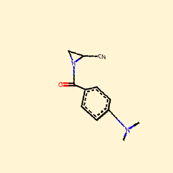 CN(C)c1ccc(C(=O)N2CC2C#N)cc1